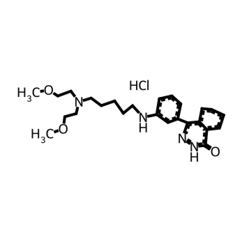 COCCN(CCCCCNc1cccc(-c2n[nH]c(=O)c3ccccc23)c1)CCOC.Cl